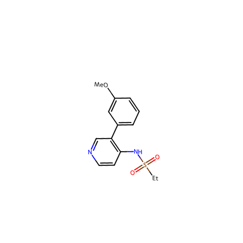 CCS(=O)(=O)Nc1ccncc1-c1cccc(OC)c1